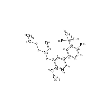 COCCN(C=O)Cc1cc(-c2ccc(F)c(C(C)(F)F)c2)cnc1OC